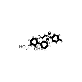 Cc1ccc(S(=O)(=O)CCOc2ccc(C(=O)O)c(O)c2-c2ccccc2)cc1